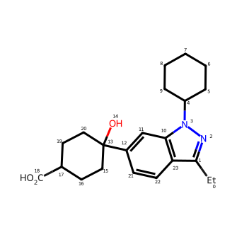 CCc1nn(C2CCCCC2)c2cc(C3(O)CCC(C(=O)O)CC3)ccc12